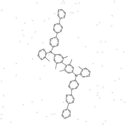 Cc1ccccc1N(c1ccc(-c2ccc(-c3ccccc3)cc2)cc1)c1cc(C)c(-c2c(C)cc(N(c3ccc(-c4ccc(-c5ccccc5)cc4)cc3)c3ccccc3C)cc2C)c(C)c1